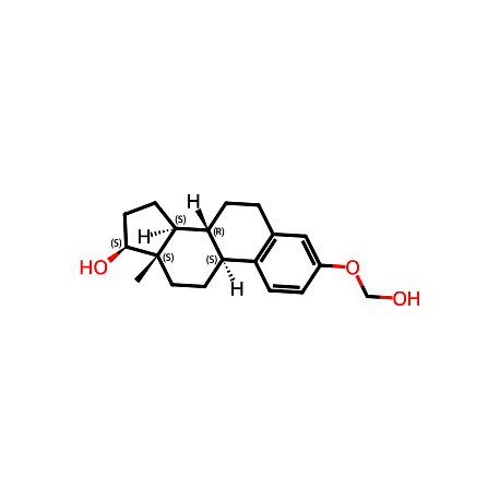 C[C@]12CC[C@@H]3c4ccc(OCO)cc4CC[C@H]3[C@@H]1CC[C@@H]2O